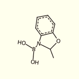 CC1Oc2ccccc2N1B(O)O